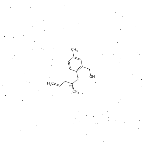 C=CC[C@H](C)Oc1ccc(C)cc1CO